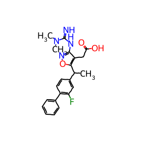 CC(c1ccc(-c2ccccc2)c(F)c1)c1onc(NC(=N)N(C)C)c1CC(=O)O